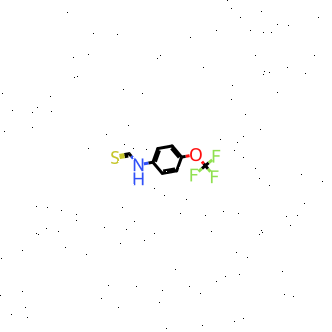 FC(F)(F)Oc1ccc(NC=S)cc1